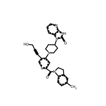 Cc1ccc2c(c1)CCN2C(=O)c1cc(N2CCC(n3c(=O)[nH]c4ncccc43)CC2)c(C#CCO)cn1